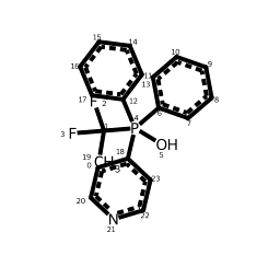 CC(F)(F)P(O)(c1ccccc1)(c1ccccc1)c1ccncc1